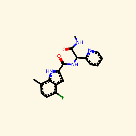 CNC(=O)C(NC(=O)c1cc2c(F)ccc(C)c2[nH]1)c1ccccn1